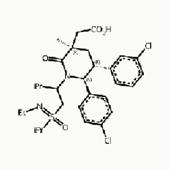 CCN=S(=O)(CC(C(C)C)N1C(=O)[C@@](C)(CC(=O)O)C[C@H](c2cccc(Cl)c2)[C@H]1c1ccc(Cl)cc1)C(C)C